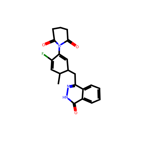 CC1C=C(F)C(N2C(=O)CCCC2=O)=CC1Cc1n[nH]c(=O)c2ccccc12